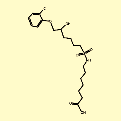 O=C(O)CCCCCCNS(=O)(=O)CCCCC(O)COc1ccccc1Cl